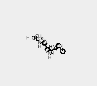 CN(C)CC(=O)Nc1cncc(-c2cnc3[nH]nc(-c4cc5c(N6CCCCC6)nccc5[nH]4)c3c2)c1